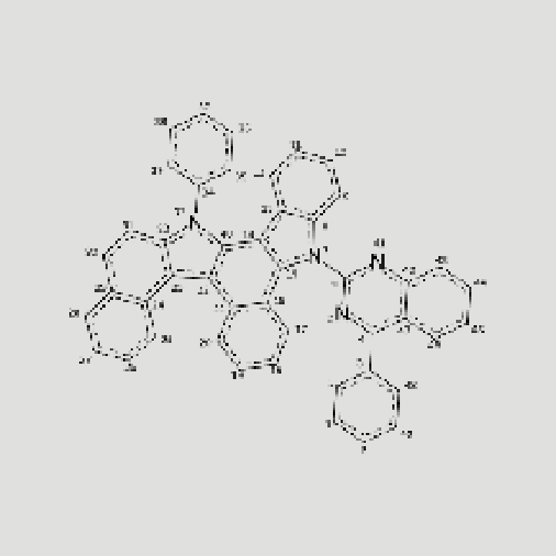 c1ccc(-c2nc(-n3c4ccccc4c4c3c3ccccc3c3c5c6ccccc6ccc5n(-c5ccccc5)c34)nc3ccccc23)cc1